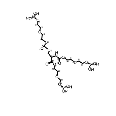 O=C(NC(COC(=O)OCCOCCON(O)O)C(=O)OCCOCON(O)O)OCCOCCON(O)O